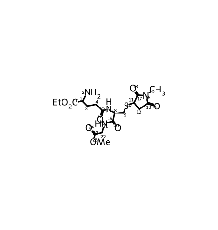 CCOC(=O)[C@@H](N)CCC(=O)N[C@@H](CSC1CC(=O)N(C)C1=O)C(=O)NCC(=O)OC